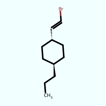 CCC[C@H]1CC[C@H](C=CBr)CC1